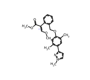 CO/C=C(/C(=O)OC)c1ccccc1COc1cc(C)c(-c2ccn(C)n2)cc1C